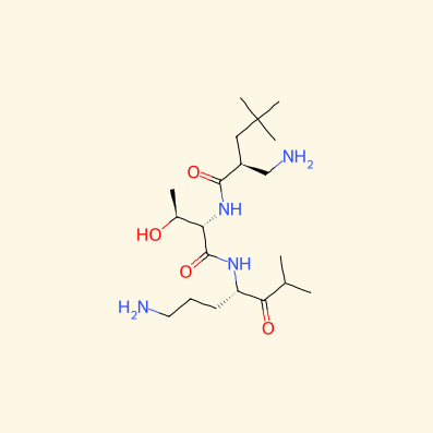 CC(C)C(=O)[C@H](CCCN)NC(=O)[C@@H](NC(=O)[C@H](CN)CC(C)(C)C)[C@H](C)O